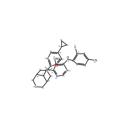 COc1c(Nc2ccc(C#N)cc2F)ncnc1OC1C2COCC1CN(c1ncc(C3CC3)cn1)C2